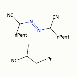 CC(C)CC(C)C#N.CCCCCC(C#N)N=NC(C#N)CCCCC